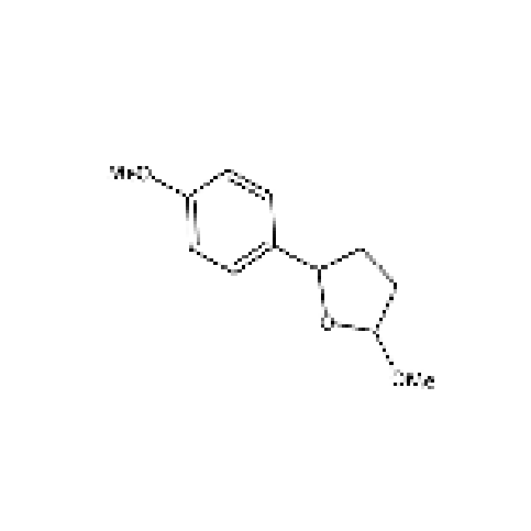 COc1ccc(C2CCC(OC)O2)cc1